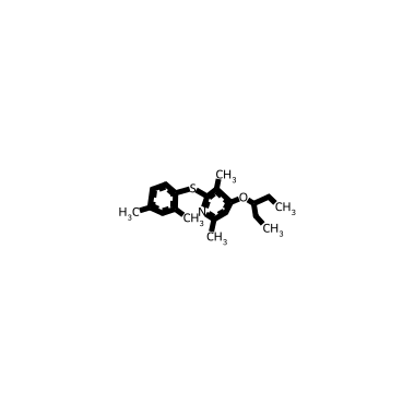 CCC(CC)Oc1cc(C)nc(Sc2ccc(C)cc2C)c1C